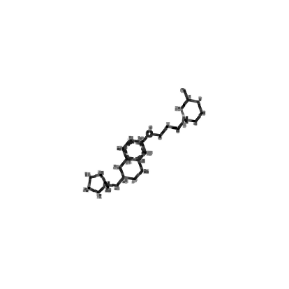 CC1CCCN(CCCOc2ccc3c(c2)CCC(CN2CCCC2)C3)C1